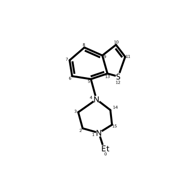 CCN1CCN(c2cccc3ccsc23)CC1